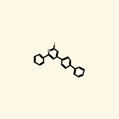 Ic1cc(-c2ccc(-c3ccccc3)cc2)cc(-c2ccccc2)n1